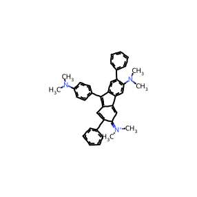 CN(C)c1ccc(C2=C3C=C(c4ccccc4)C(=[N+](C)C)C=C3c3cc(N(C)C)c(-c4ccccc4)cc32)cc1